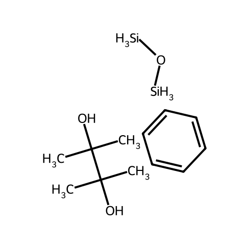 CC(C)(O)C(C)(C)O.[SiH3]O[SiH3].c1ccccc1